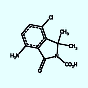 CC1(C)c2c(Cl)ccc(N)c2C(=O)N1C(=O)O